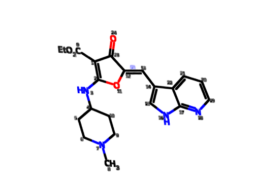 CCOC(=O)C1=C(NC2CCN(C)CC2)O/C(=C\c2c[nH]c3ncccc23)C1=O